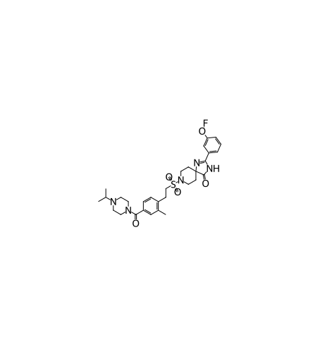 Cc1cc(C(=O)N2CCN(C(C)C)CC2)ccc1CCS(=O)(=O)N1CCC2(CC1)N=C(c1cccc(OF)c1)NC2=O